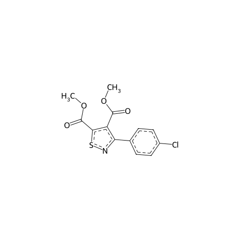 COC(=O)c1snc(-c2ccc(Cl)cc2)c1C(=O)OC